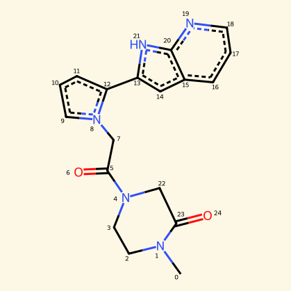 CN1CCN(C(=O)Cn2cccc2-c2cc3cccnc3[nH]2)CC1=O